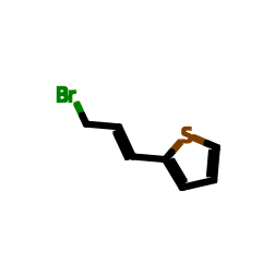 BrCC=Cc1cccs1